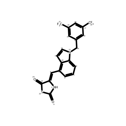 O=C1NC(=Cc2cccc3c2ccn3Cc2cc(C(F)(F)F)cc(C(F)(F)F)c2)C(=O)S1